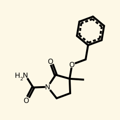 CC1(OCc2ccccc2)CCN(C(N)=O)C1=O